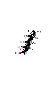 COc1ccc(NC(=O)[C@H](CCCCN)NC(=O)c2cc(NC(=O)[C@H](CCCCN)NC(=O)c3cc(NC(=O)[C@H](CCCCN)NC(=O)c4cc(NC(=O)[C@@H](N)CCCCN)ccc4SC)ccc3OC)ccc2OC)cc1C(N)=O